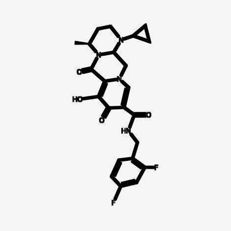 C[C@H]1CCN(C2CC2)C2Cn3cc(C(=O)NCc4ccc(F)cc4F)c(=O)c(O)c3C(=O)N21